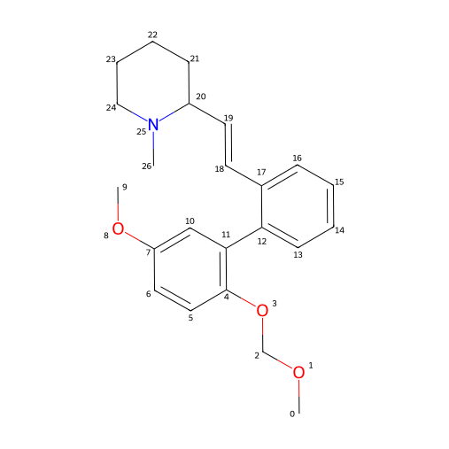 COCOc1ccc(OC)cc1-c1ccccc1C=CC1CCCCN1C